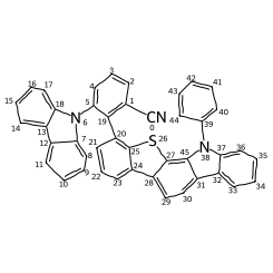 N#Cc1cccc(-n2c3ccccc3c3ccccc32)c1-c1cccc2c1sc1c2ccc2c3ccccc3n(-c3ccccc3)c21